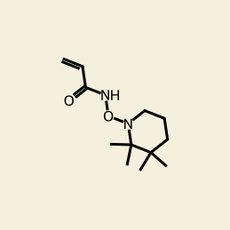 C=CC(=O)NON1CCCC(C)(C)C1(C)C